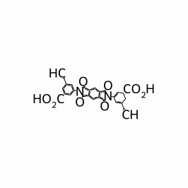 C#CC1=CC(n2c(=O)c3cc4c(=O)n(-c5cc(C#C)cc(C(=O)O)c5)c(=O)c4cc3c2=O)=CC(C(=O)O)C1